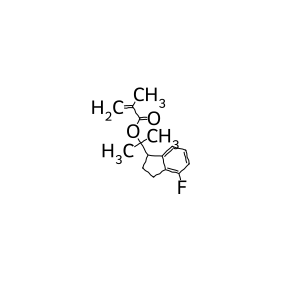 C=C(C)C(=O)OC(C)(C)C1CCc2c(F)cccc21